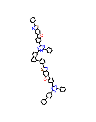 c1ccc(-c2ccc(-c3nc(-c4ccccc4)nc(-c4ccc5c(c4)oc4cc6sc(-c7cccc(-c8cccc9ccc(-c%10nc(-c%11ccccc%11)nc(-c%11ccc%12c(c%11)oc%11cc%13sc(-c%14ccccc%14)nc%13cc%11%12)n%10)cc89)c7)nc6cc45)n3)cc2)cc1